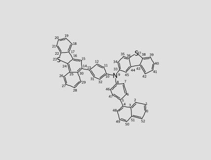 c1ccc2c(-c3ccc(N(c4ccc(-c5cc6c7ccccc7sc6c6ccccc56)cc4)c4ccc5sc6ccccc6c5c4)cc3)cccc2c1